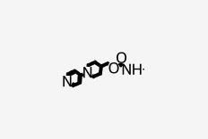 [NH]C(=O)OCC1CCN(c2ccncc2)CC1